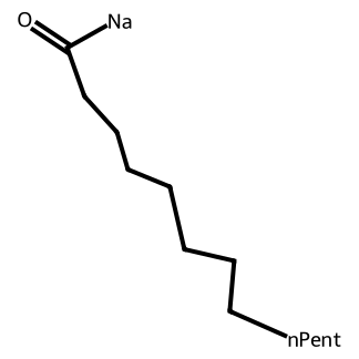 CCCCCCCCCCCC[C](=O)[Na]